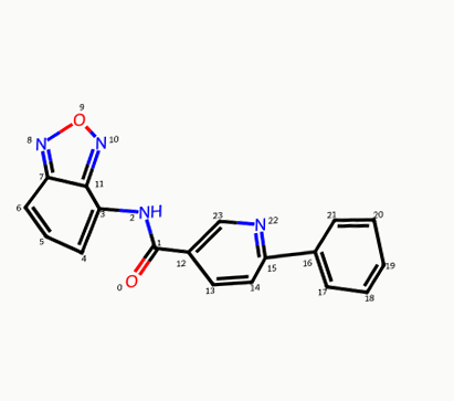 O=C(Nc1cccc2nonc12)c1ccc(-c2ccccc2)nc1